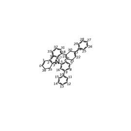 C1=Cc2c(n(-c3cccc(-c4ccccc4)c3)c3c(C4CCC=C(c5ccccc5)C4)cccc23)CC1